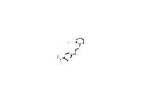 CCOc1c(C)cc(C)cc1C=CC(=O)c1ccc(C(=O)N(C)C)cc1